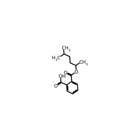 CC(C)CCC(C)OC(=O)c1ccccc1C(=O)O